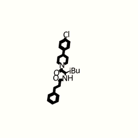 CC[C@H](C)[C@@H](NC(=O)CCc1ccccc1)C(=O)N1CCC(c2ccc(Cl)cc2)CC1